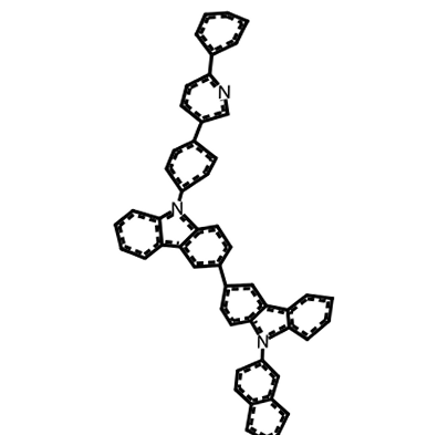 c1ccc(-c2ccc(-c3ccc(-n4c5ccccc5c5cc(-c6ccc7c(c6)c6ccccc6n7-c6ccc7ccccc7c6)ccc54)cc3)cn2)cc1